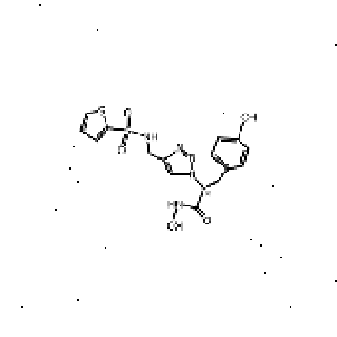 O=C(NO)[C@H](Cc1ccc(O)cc1)n1cc(CNS(=O)(=O)c2cccs2)nn1